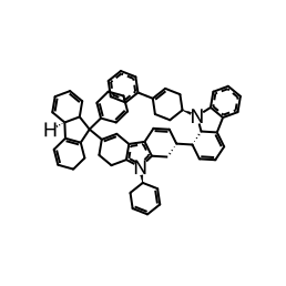 C1=CC[C@@H](n2c3c(c4c2C[C@@H]([C@H]2C=CC=C5c6ccccc6N([C@@H]6CC=C(c7ccccc7)CC6)C52)C=C4)C=C(C2(C4=CCCC=C4)C4=C(C=CCC4)[C@H]4C=CC=CC42)CC3)C=C1